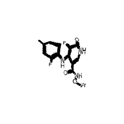 Cc1ccc(Nc2c(C(=O)NOC(C)C)c[nH]c(=O)c2F)c(F)c1